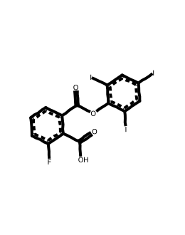 O=C(Oc1c(I)cc(I)cc1I)c1cccc(F)c1C(=O)O